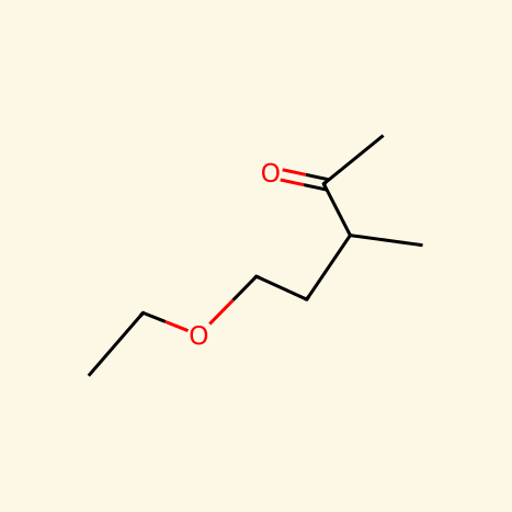 CCOCCC(C)C(C)=O